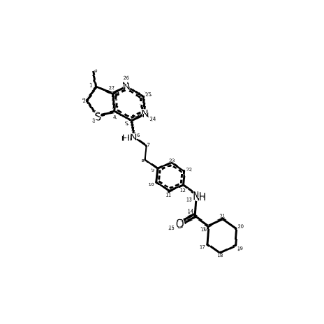 CC1CSc2c(NCCc3ccc(NC(=O)C4CCCCC4)cc3)ncnc21